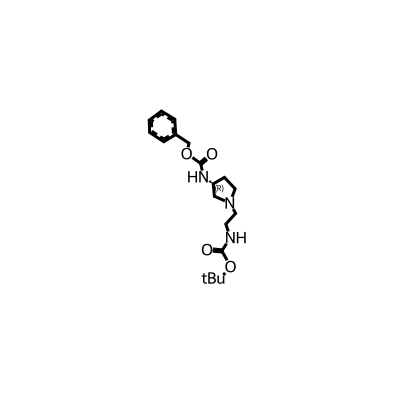 CC(C)(C)OC(=O)NCCN1CC[C@@H](NC(=O)OCc2ccccc2)C1